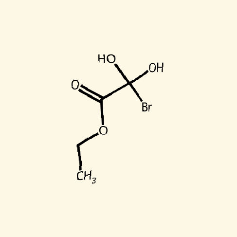 CCOC(=O)C(O)(O)Br